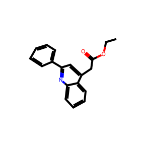 CCOC(=O)Cc1cc(-c2ccccc2)nc2ccccc12